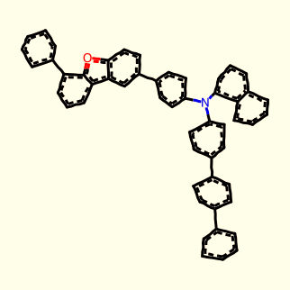 c1ccc(-c2ccc(-c3ccc(N(c4ccc(-c5ccc6oc7c(-c8ccccc8)cccc7c6c5)cc4)c4cccc5ccccc45)cc3)cc2)cc1